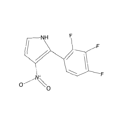 O=[N+]([O-])c1cc[nH]c1-c1ccc(F)c(F)c1F